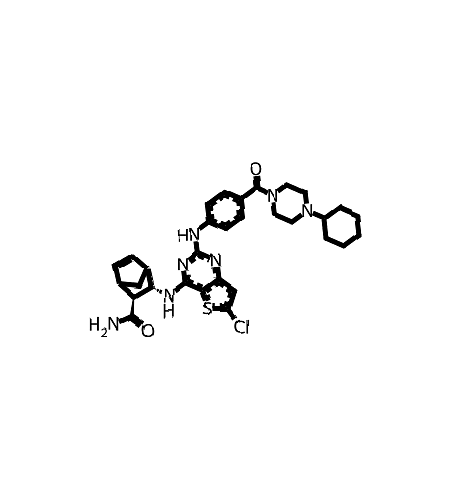 NC(=O)[C@H]1C2C=CC(C2)[C@@H]1Nc1nc(Nc2ccc(C(=O)N3CCN(C4CCCCC4)CC3)cc2)nc2cc(Cl)sc12